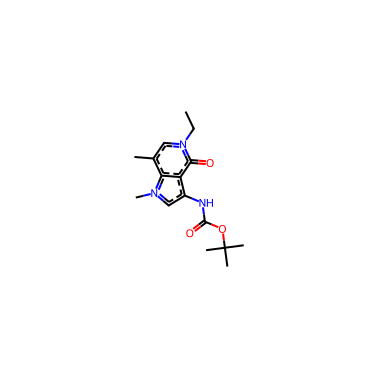 CCn1cc(C)c2c(c(NC(=O)OC(C)(C)C)cn2C)c1=O